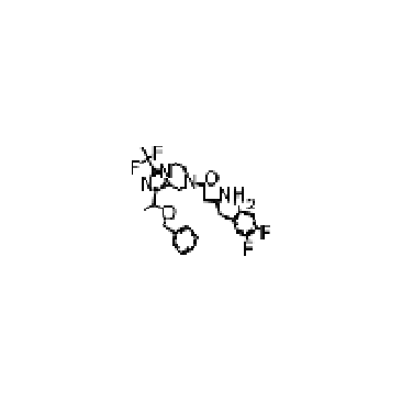 CC(OCc1ccccc1)c1nc(C(C)(F)F)n2c1CN(C(=O)CC(N)Cc1cc(F)c(F)cc1F)CC2